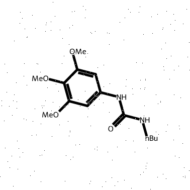 CCCCNC(=O)Nc1cc(OC)c(OC)c(OC)c1